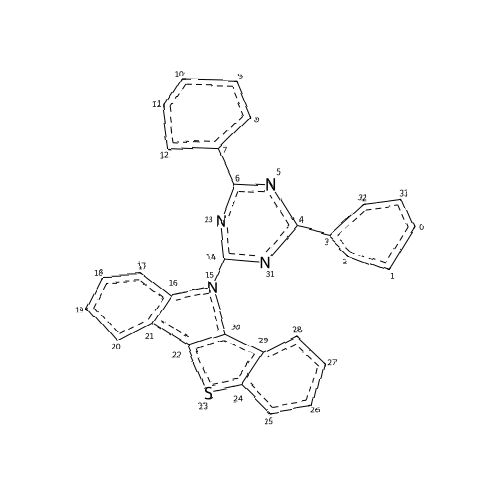 c1ccc(-c2nc(-c3ccccc3)nc(-n3c4ccccc4c4sc5ccccc5c43)n2)cc1